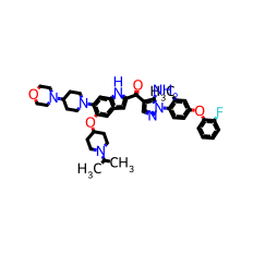 Cc1cc(Oc2ccccc2F)ccc1-n1ncc(C(=O)c2cc3cc(OC4CCN(C(C)C)CC4)c(N4CCC(N5CCOCC5)CC4)cc3[nH]2)c1N